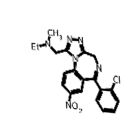 CCN(C)Cc1nnc2n1-c1ccc([N+](=O)[O-])cc1C(c1ccccc1Cl)=NC2